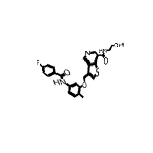 Cc1ccc(NC(=O)c2ccc(F)cc2)cc1OCc1csc2c(C(=O)NCCO)cncc12